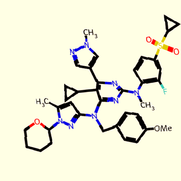 COc1ccc(CN(c2cc(C)n(C3CCCCO3)n2)c2nc(N(C)c3ccc(S(=O)(=O)C4CC4)cc3F)nc(-c3cnn(C)c3)c2C2CC2)cc1